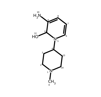 CN1CCC(N2C=CC=C(N)C2O)CC1